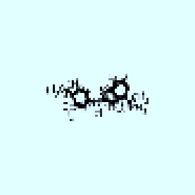 CC(C)(C)c1ccc(Nc2cc3c(C(C)(C)C)cccc3s2)cc1